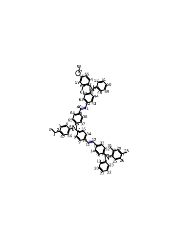 CCc1ccc(N(c2ccc(/C=C/c3ccc(N(c4ccccc4)c4ccc(C)cc4C)cc3)cc2)c2ccc(/C=C/c3ccc(N(c4ccccc4)c4ccc(OC)cc4C)cc3)cc2)cc1